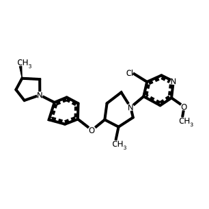 COc1cc(N2CCC(Oc3ccc(N4CC[C@@H](C)C4)cc3)C(C)C2)c(Cl)cn1